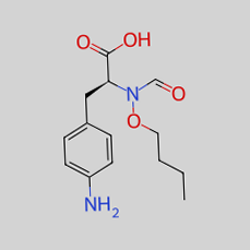 CCCCON(C=O)[C@@H](Cc1ccc(N)cc1)C(=O)O